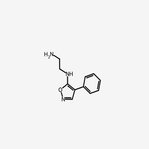 NCCNc1oncc1-c1ccccc1